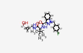 CC(C)(C)[C@H](NC(=O)c1nn(Cc2ccc(F)cc2)c2ccccc12)C(=O)NC[C@H]1C[C@@H]1CO